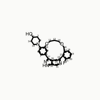 OC1CCN(c2ccc3cc2OCCCOCc2cccc(F)c2-c2cc4c-3n[nH]c4cn2)CC1